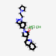 Cl.Cl.Cl.O=c1cc(-c2ccc3ccccc3n2)ccn1-c1ccc2c(cnn2CCN2CCCC2)c1